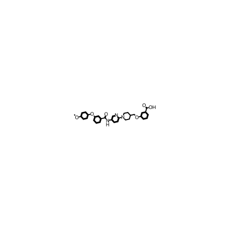 COc1ccc(Oc2cccc(C(=O)Nc3ccc(N4CCC(COc5cccc(C(=O)O)c5)CC4)nc3)c2)cc1